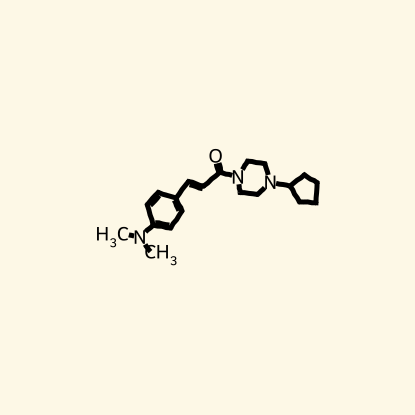 CN(C)c1ccc(C=CC(=O)N2CCN(C3CCCC3)CC2)cc1